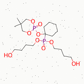 CC1(C)COP(=O)(OC2(P(=O)(OCCCCO)OCCCCO)CCCCC2)OC1